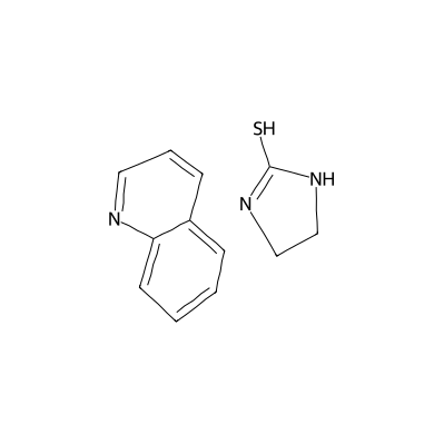 SC1=NCCN1.c1ccc2ncccc2c1